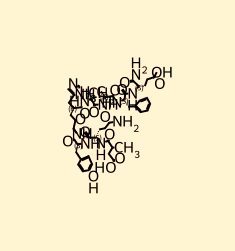 CC(CC(=O)O)C(=O)N[C@@H](CCC(N)=O)C(=O)N[C@@H](Cc1ccc(O)cc1)C(=O)NCC(=O)C[C@@H](Cc1cnc[nH]1)C(=O)N[C@@H](C)C(=O)N[C@@H](C)C(=O)N[C@@H](Cc1ccccc1)C(=O)N[C@@H](CCC(=O)O)C(N)=O